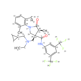 CCN(CC1CC1)C[C@@]1(C(=O)Nc2cc(C(F)(F)F)cc(C(F)(F)F)c2)CN(c2c(C)cccc2C)C(=O)[C@H]1C